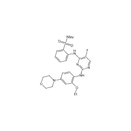 CCOc1cc(N2CCOCC2)ccc1Nc1ncc(F)c(Nc2ccccc2S(=O)(=O)NC)n1